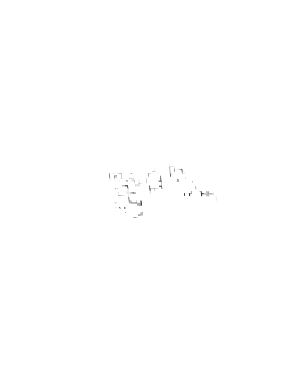 NC(=O)Cc1cnc(-c2ccc(N(CC3(c4ncccc4F)CCC3)C(=O)O)nn2)s1